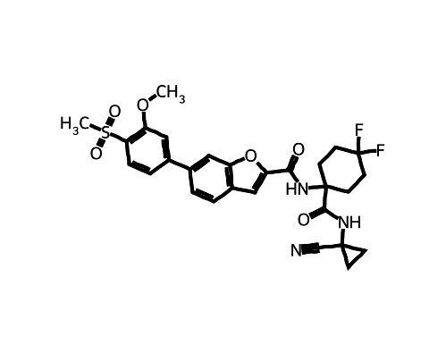 COc1cc(-c2ccc3cc(C(=O)NC4(C(=O)NC5(C#N)CC5)CCC(F)(F)CC4)oc3c2)ccc1S(C)(=O)=O